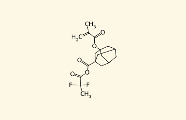 C=C(C)C(=O)OC12CC3CC(C1)CC(C(=O)OC(=O)C(C)(F)F)(C3)C2